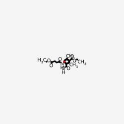 CCOC(=O)CCC(=O)Nc1cc(C)c(C(=O)OCC)c(C)c1C(=O)O